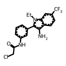 CCn1c(-c2cccc(NC(=O)CCl)c2)c(N)c2ccc(C(F)(F)F)cc21